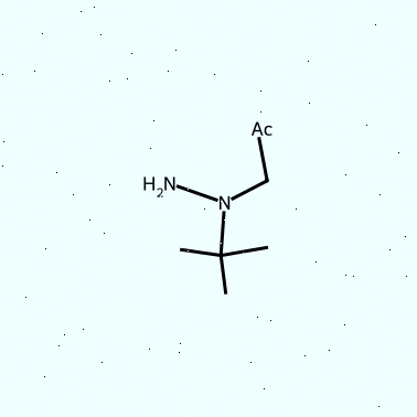 CC(=O)CN(N)C(C)(C)C